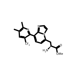 COC(=O)[C@@H](N)Cc1ccc(-c2nc(C)c(C)cc2C(F)(F)F)c2nccn12